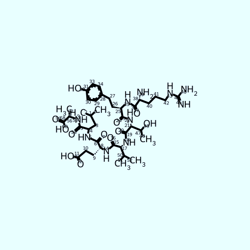 CC(C)CC(NC(=O)[C@@H](CCC(=O)O)NC(=O)[C@H](NC(=O)[C@H](NC(=O)[C@@H](CCc1ccc(O)cc1)NC(=O)[C@H](N)CCCNC(=N)N)C(C)O)C(C)C)C(=O)N[C@H](C)C(=O)O